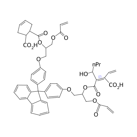 C=CC(=O)OCC(COc1ccc(C2(c3ccc(OCC(COC(=O)C=C)OC(=O)C4CC=CCC4C(=O)O)cc3)c3ccccc3-c3ccccc32)cc1)OC(=O)/C(=C(/C=C)C(=O)O)C(O)CCC